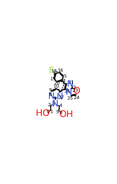 OCCN(CCO)c1nccc(-c2c(-c3ccc(F)cc3)nc3occn23)n1